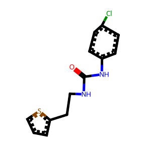 O=C(NCCc1cccs1)Nc1ccc(Cl)cc1